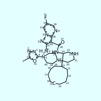 Cc1nnc(N2CCN(C3(C4CCCCCCCCC4)CCNCC3NC(=O)c3c(N)nn4cc(F)cnc34)CC2)o1